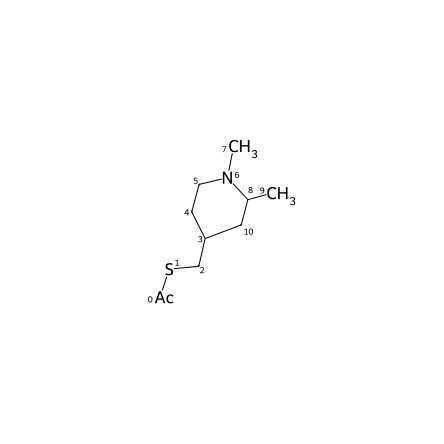 CC(=O)SCC1CCN(C)C(C)C1